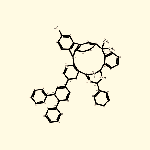 CC(C)(C)c1ccc2c(c1)c1c3n2C2=C(CC(C4=CC(c5ccccc5)C(c5ccccc5)C=C4)C=N2)C2=NC(C4=CCCC=C4)NC(N2)c2ccccc2C(C)(C)C(=C1)CC3